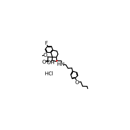 CCCCOc1ccc(CCCNCCC2CCc3cc(F)ccc3C2(C(C)C)C(OC)C(=O)O)cc1.Cl